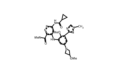 CNC(=O)c1nnc(NC(=O)C2CC2)cc1Nc1cc(N2CC(OC)C2)cc(-c2ncn(C)n2)c1OC